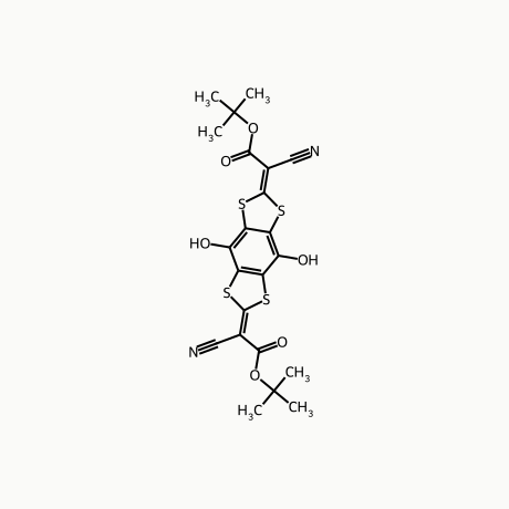 CC(C)(C)OC(=O)C(C#N)=C1Sc2c(O)c3c(c(O)c2S1)SC(=C(C#N)C(=O)OC(C)(C)C)S3